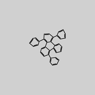 c1ccc(-c2cccc3c2c2ccccc2c2c(-c4ccccc4)ccc(-c4ccccc4)c32)cc1